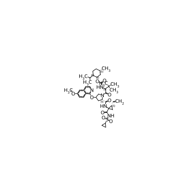 C=C[C@@H]1CC1(NC(=O)[C@@H]1CC(Oc2nccc3cc(OC)ccc23)CN1C(=O)[C@@H](NC(=O)O[C@H]1C[C@@H](C)CC[C@@H]1C(C)C)C(C)(C)C)C(=O)NS(=O)(=O)C1CC1